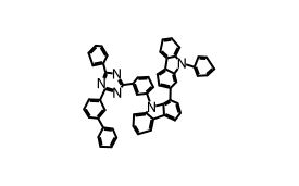 c1ccc(-c2cccc(-c3nc(-c4ccccc4)nc(-c4cccc(-n5c6ccccc6c6cccc(-c7ccc8c9ccccc9n(-c9ccccc9)c8c7)c65)c4)n3)c2)cc1